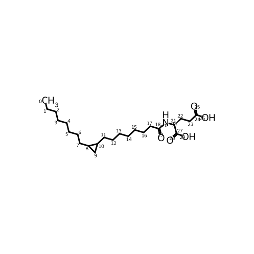 CCCCCCCCC1CC1CCCCCCCC(=O)N[C@@H](CCC(=O)O)C(=O)O